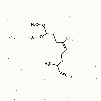 C=CC(C)CCC=C(C)CCC(OC)OC